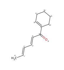 CC=CC=CC(=O)C1=CCCCC1